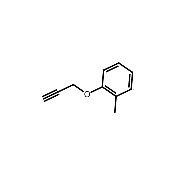 C#CCOc1ccc[c]c1C